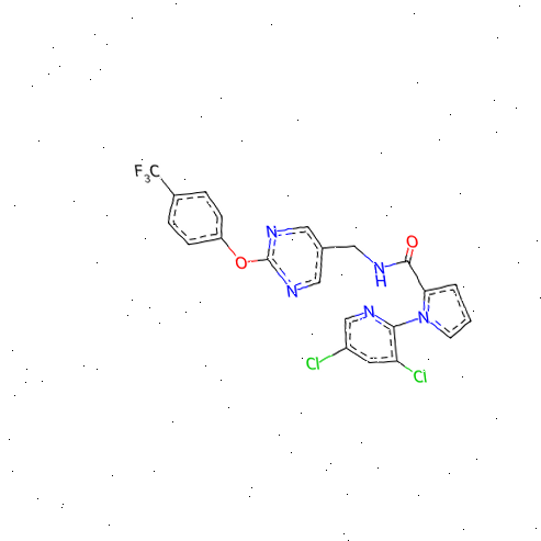 O=C(NCc1cnc(Oc2ccc(C(F)(F)F)cc2)nc1)c1cccn1-c1ncc(Cl)cc1Cl